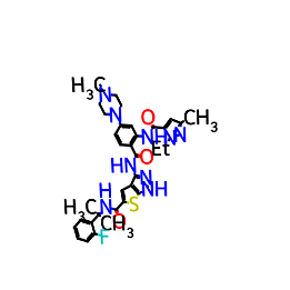 CCn1nc(C)cc1C(=O)Nc1cc(N2CCN(C)CC2)ccc1C(=O)Nc1n[nH]c2sc(C(=O)NC(C)(C)c3ccccc3F)cc12